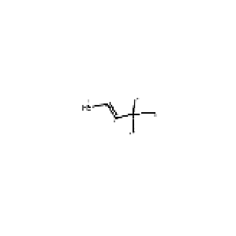 CC(C)(C)C=CS